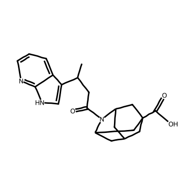 CC(CC(=O)N1C2CC3CC1CC(C(=O)O)(C3)C2)c1c[nH]c2ncccc12